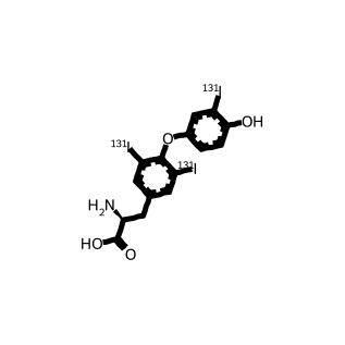 N[C@@H](Cc1cc([131I])c(Oc2ccc(O)c([131I])c2)c([131I])c1)C(=O)O